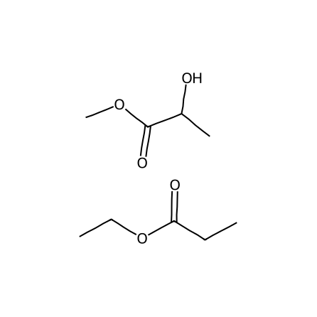 CCOC(=O)CC.COC(=O)C(C)O